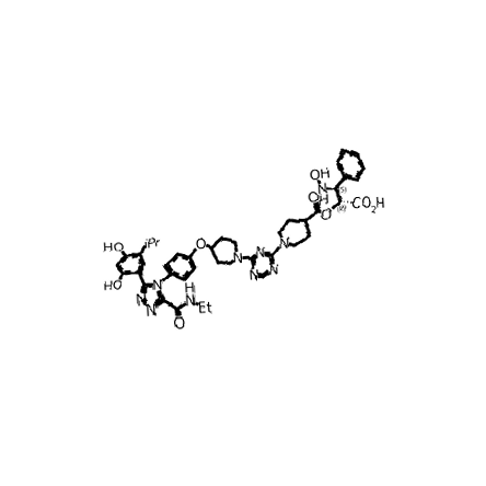 CCNC(=O)c1nnc(-c2cc(C(C)C)c(O)cc2O)n1-c1ccc(OC2CCN(c3ncnc(N4CCC(C(=O)O[C@@H](C(=O)O)[C@@H](NO)c5ccccc5)CC4)n3)CC2)cc1